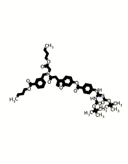 CCCCOC(=O)CN(Cc1cccc(C(=O)OCCCC)c1)C(=O)Cc1coc2cc(OC(=O)c3ccc(N/C(=N/C(=O)OC(C)(C)C)NC(=O)OC(C)(C)C)cc3)ccc12